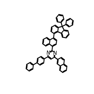 c1ccc(-c2ccc(-c3cc(-c4ccc5ccccc5c4)nc(-c4ccc(-c5cccc6c5-c5ccccc5C6(c5ccccc5)c5ccccc5)c5ccccc45)n3)cc2)cc1